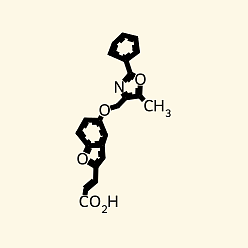 Cc1oc(-c2ccccc2)nc1COc1ccc2oc(C=CC(=O)O)cc2c1